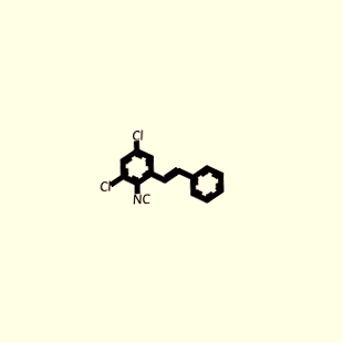 [C-]#[N+]c1c(Cl)cc(Cl)cc1C=Cc1ccccc1